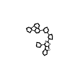 c1ccc(-c2nc(-c3cccc(-c4cccc(-c5ccc6c7c(cccc57)-c5ccccc5-6)c4)c3)nc3oc4ccccc4c23)cc1